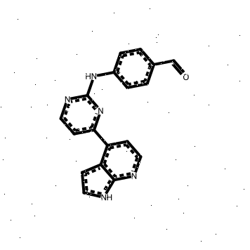 O=Cc1ccc(Nc2nccc(-c3ccnc4[nH]ccc34)n2)cc1